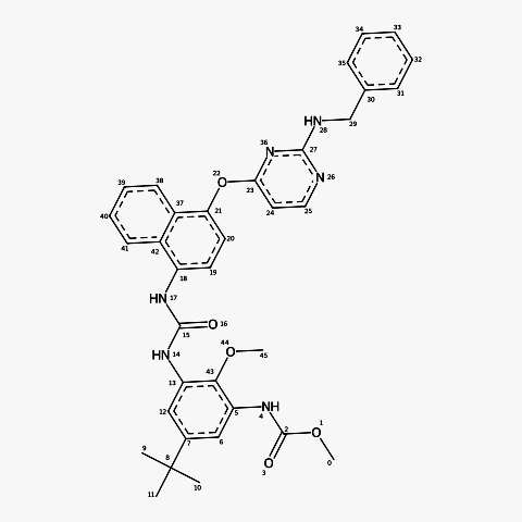 COC(=O)Nc1cc(C(C)(C)C)cc(NC(=O)Nc2ccc(Oc3ccnc(NCc4ccccc4)n3)c3ccccc23)c1OC